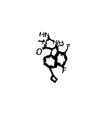 CN1C(=N)N[C@](C)(c2ccc(F)cc2F)[C@@H](c2ccc(C3CCC3)cc2)C1=O